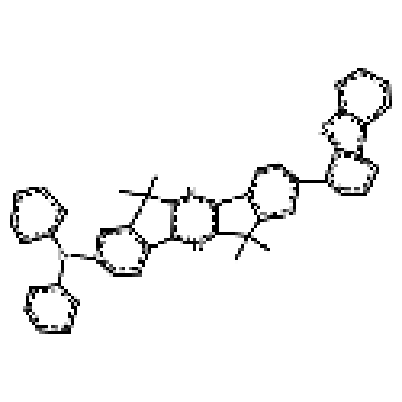 CC1(C)c2cc(-c3cccc4c3sc3ccccc34)ccc2-c2nc3c(nc21)-c1ccc(N(c2ccccc2)c2ccccc2)cc1C3(C)C